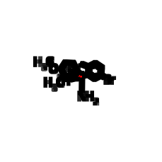 [2H]C1([2H])OC(N)=NC12c1cc(Br)ccc1C[C@]21CC[C@@H](OC)C(C)C1